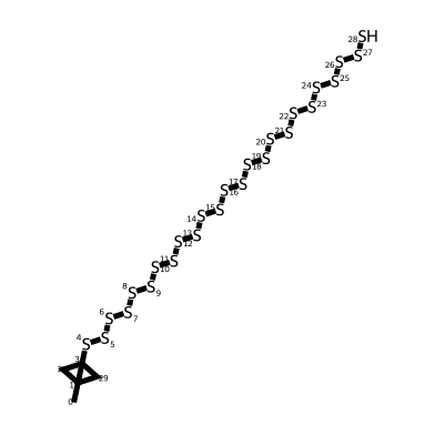 CC12CC1(SSSSSSSSSSSSSSSSSSSSSSSSS)C2